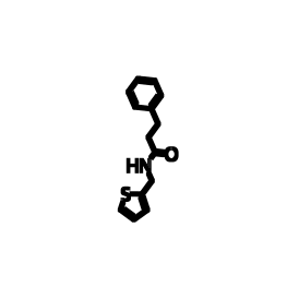 O=C(CCc1ccccc1)NCc1cccs1